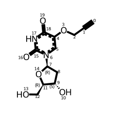 C#CCOc1cn([C@H]2C[C@H](O)[C@@H](CO)O2)c(=O)[nH]c1=O